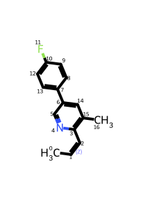 C/C=C\c1ncc(-c2ccc(F)cc2)cc1C